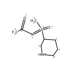 CS(=O)(=NC(=O)C(F)(F)F)C1CCCNC1